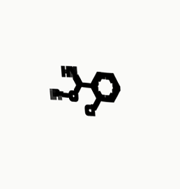 CC(C)OC(=N)c1ccccc1Cl